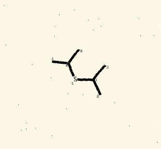 CC(C)SC(C)C